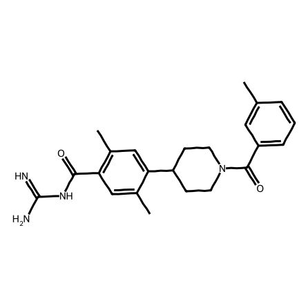 Cc1cccc(C(=O)N2CCC(c3cc(C)c(C(=O)NC(=N)N)cc3C)CC2)c1